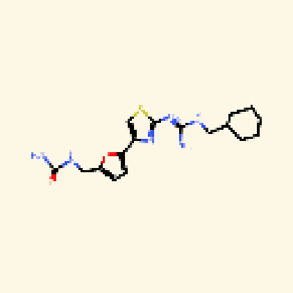 NC(=O)NCc1ccc(-c2csc(/N=C(\N)NCC3CCCCC3)n2)o1